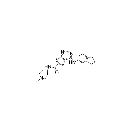 CN1CCC(NC(=O)c2cc3c(Nc4ccc5c(c4)CCC5)ncnc3s2)CC1